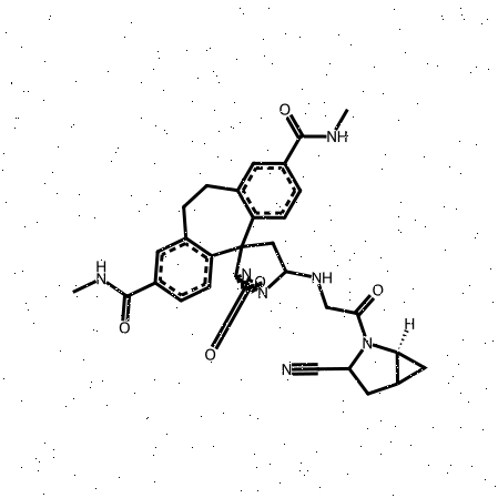 CNC(=O)c1ccc2c(c1)CCc1cc(C(=O)NC)ccc1C21CC(NCC(=O)N2C(C#N)CC3C[C@@H]32)n2oc(=O)nc21